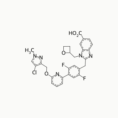 Cn1cc(Cl)c(COc2cccc(-c3cc(F)c(Cc4nc5ccc(C(=O)O)cc5n4CC4CCO4)cc3F)n2)n1